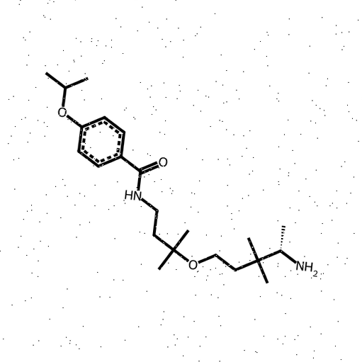 CC(C)Oc1ccc(C(=O)NCCC(C)(C)OCCC(C)(C)[C@H](C)N)cc1